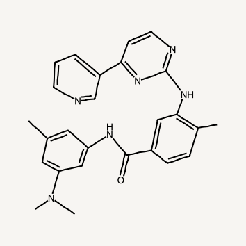 Cc1cc(NC(=O)c2ccc(C)c(Nc3nccc(-c4cccnc4)n3)c2)cc(N(C)C)c1